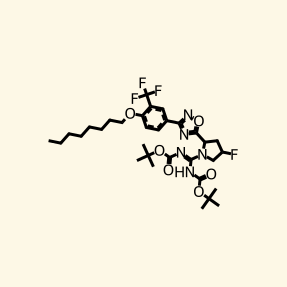 CCCCCCCCOc1ccc(-c2noc(C3CC(F)CN3C(=NC(=O)OC(C)(C)C)NC(=O)OC(C)(C)C)n2)cc1C(F)(F)F